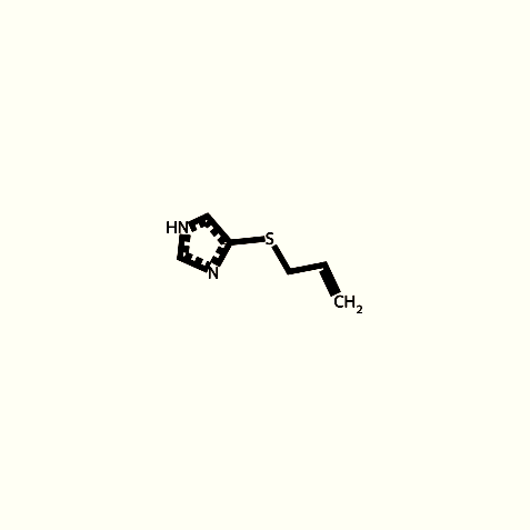 C=CCSc1c[nH]cn1